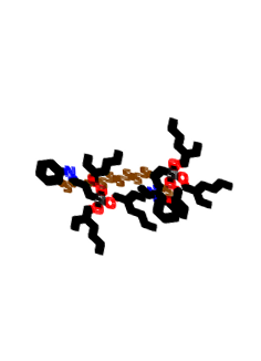 CCCCC(CC)CO[Si](CC(SSSSSSSC(C[Si](OCC(CC)CCCC)(OCC(CC)CCCC)OCC(CC)CCCC)c1nc2ccccc2s1)c1nc2ccccc2s1)(OCC(CC)CCCC)OCC(CC)CCCC